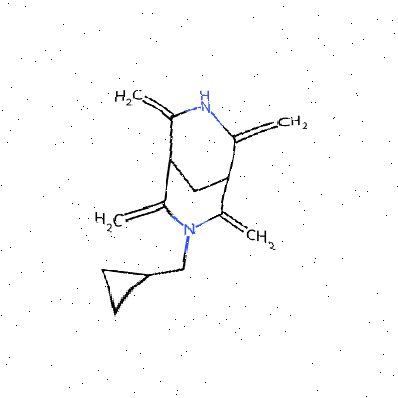 C=C1NC(=C)C2CC1C(=C)N(CC1CC1)C2=C